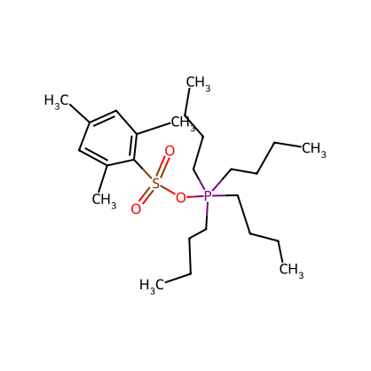 CCCCP(CCCC)(CCCC)(CCCC)OS(=O)(=O)c1c(C)cc(C)cc1C